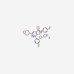 O=C1c2cc(C3CCOCC3)nc(-c3ccc(F)cc3OCC(F)(F)F)c2CN1c1ccc(F)cc1